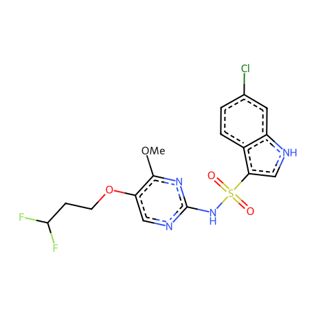 COc1nc(NS(=O)(=O)c2c[nH]c3cc(Cl)ccc23)ncc1OCCC(F)F